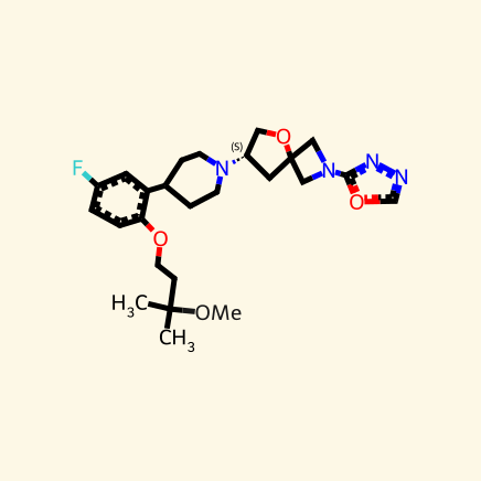 COC(C)(C)CCOc1ccc(F)cc1C1CCN([C@@H]2COC3(C2)CN(c2nnco2)C3)CC1